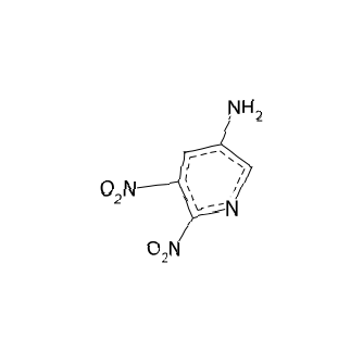 Nc1cnc([N+](=O)[O-])c([N+](=O)[O-])c1